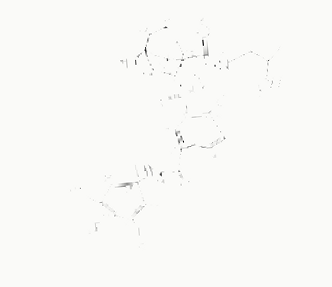 CC(O)CNC(=O)C[C@@]1(O)C2CC[C@H]1C[C@H](S(=O)(=O)c1cc(C(=O)Nc3cc(F)c(F)c(F)c3)ccc1Cl)C2